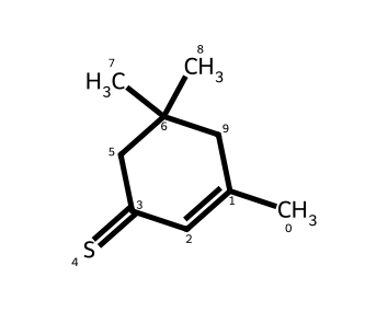 CC1=CC(=S)CC(C)(C)C1